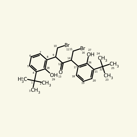 CC(C)(C)c1cccc(C(CBr)C(=O)C(CBr)c2cccc(C(C)(C)C)c2O)c1O